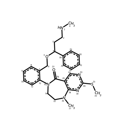 CNCCC(OCc1ccccc1N1CCN(C)c2nc(SC)ncc2C1=O)c1ccccc1